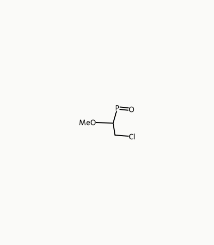 COC(CCl)P=O